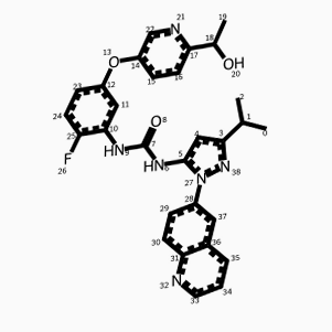 CC(C)c1cc(NC(=O)Nc2cc(Oc3ccc(C(C)O)nc3)ccc2F)n(-c2ccc3ncccc3c2)n1